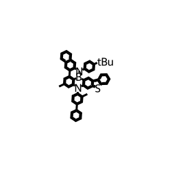 Cc1cc2c3c(c1)N(c1ccc(-c4ccccc4)cc1C)c1cc4sc5ccccc5c4cc1B3N(c1ccc(C(C)(C)C)cc1)c1cc3ccccc3cc1-2